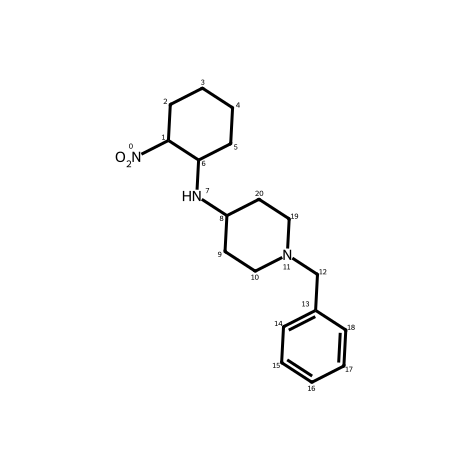 O=[N+]([O-])C1CCCCC1NC1CCN(Cc2ccccc2)CC1